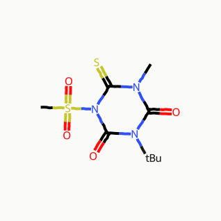 Cn1c(=O)n(C(C)(C)C)c(=O)n(S(C)(=O)=O)c1=S